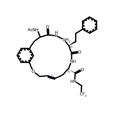 CC(=O)NC1Cc2cccc(c2)OC/C=C/C[C@@H](C(=O)NCC(F)(F)F)NC(=O)[C@H](CCc2ccccc2)[SiH2]NC1=O